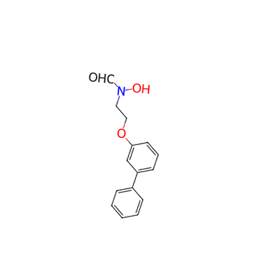 O=CN(O)CCOc1cccc(-c2ccccc2)c1